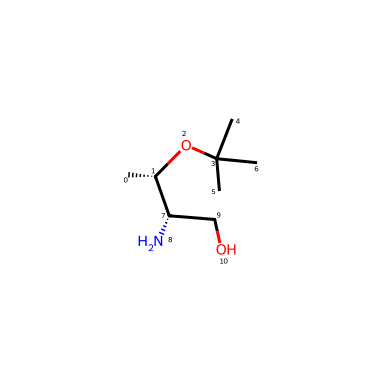 C[C@H](OC(C)(C)C)[C@@H](N)CO